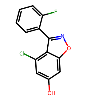 Oc1cc(Cl)c2c(-c3ccccc3F)noc2c1